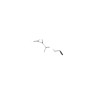 C=CCOC(C)C1OC1C(C)C